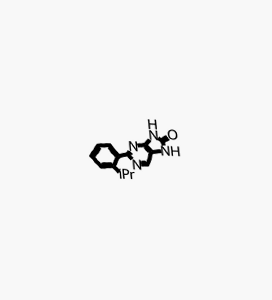 CC(C)c1ccccc1-c1ncc2[nH]c(=O)[nH]c2n1